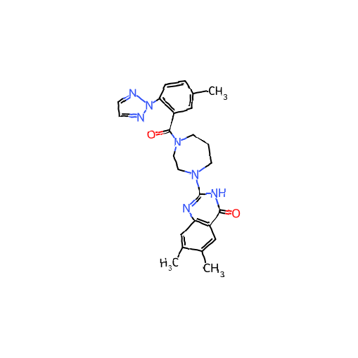 Cc1ccc(-n2nccn2)c(C(=O)N2CCCN(c3nc4cc(C)c(C)cc4c(=O)[nH]3)CC2)c1